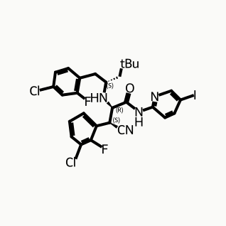 CC(C)(C)C[C@@H](Cc1ccc(Cl)cc1F)N[C@@H](C(=O)Nc1ccc(I)cn1)[C@@H](C#N)c1cccc(Cl)c1F